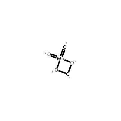 [O]=[Mo]1(=[O])[O]O[O]1